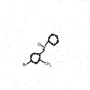 Cc1cc(Br)ccc1C=[N+]([O-])c1ccccc1